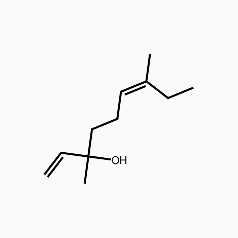 C=CC(C)(O)CCC=C(C)CC